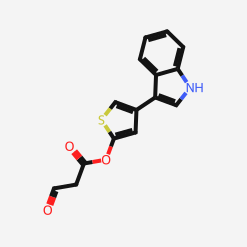 O=CCC(=O)Oc1cc(-c2c[nH]c3ccccc23)cs1